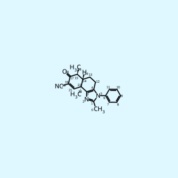 Cc1nc2c(n1-c1ccccc1)CC[C@H]1[C@H](C)C(=O)C(C#N)=C[C@]21C